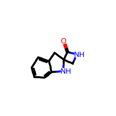 O=C1NCC12Cc1ccccc1N2